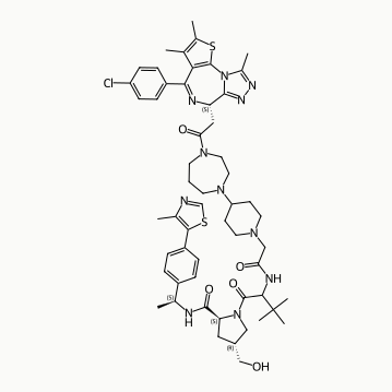 Cc1ncsc1-c1ccc([C@H](C)NC(=O)[C@@H]2C[C@@H](CO)CN2C(=O)C(NC(=O)CN2CCC(N3CCCN(C(=O)C[C@@H]4N=C(c5ccc(Cl)cc5)c5c(sc(C)c5C)-n5c(C)nnc54)CC3)CC2)C(C)(C)C)cc1